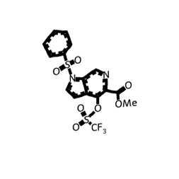 COC(=O)c1ncc2c(ccn2S(=O)(=O)c2ccccc2)c1OS(=O)(=O)C(F)(F)F